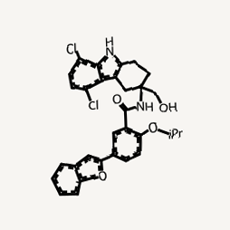 CC(C)Oc1ccc(-c2cc3ccccc3o2)cc1C(=O)NC1(CO)CCc2[nH]c3c(Cl)ccc(Cl)c3c2C1